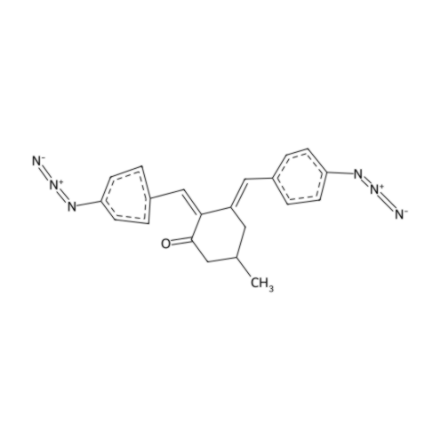 CC1CC(=O)C(=Cc2ccc(N=[N+]=[N-])cc2)C(=Cc2ccc(N=[N+]=[N-])cc2)C1